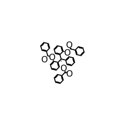 O=C(Oc1ccccc1[C](c1ccccc1OC(=O)c1ccccc1)c1ccccc1OC(=O)c1ccccc1)c1ccccc1